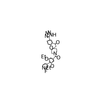 CCOc1cc(C(=O)N2CCC3(CC2)CC(=O)c2cc(-c4nnn[nH]4)ccc2O3)cc(OCC)c1-c1ccnc(F)c1